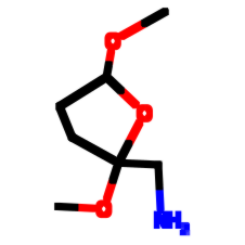 COC1CCC(CN)(OC)O1